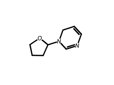 C1=CN=CN(C2CCCO2)C1